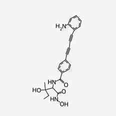 CCC(C)(O)C(NC(=O)c1ccc(C#CC#Cc2ccccc2N)cc1)C(=O)NO